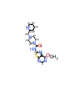 COc1ncnc2sc(NC(=O)N3CCN(Cc4ccccn4)CC3)nc12